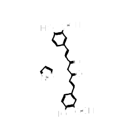 COc1cc(/C=C/C(=O)CC(=O)/C=C/c2ccc(O)c(OC)c2)ccc1O.c1cnoc1